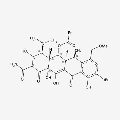 CCC(=O)O[C@@H]1[C@@H]2C(=C(O)[C@@]3(O)C(=O)C(C(N)=O)=C(O)[C@@H](N(C)C)[C@H]13)C(=O)c1c(O)c(C(C)(C)C)cc(COC)c1[C@@H]2C